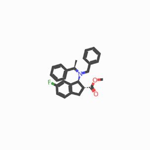 COC(=O)[C@@H]1Cc2ccc(F)cc2[C@H]1N(Cc1ccccc1)[C@H](C)c1ccccc1